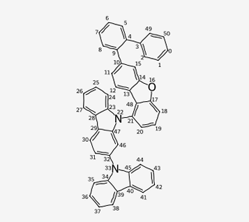 c1ccc(-c2ccccc2-c2ccc3c(c2)oc2cccc(-n4c5ccccc5c5ccc(-n6c7ccccc7c7ccccc76)cc54)c23)cc1